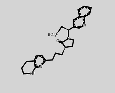 CCOC(=O)C[C@@H](c1cnc2ccccc2c1)N1CC[C@@H](CCCc2ccc3c(n2)NCCC3)C1=O